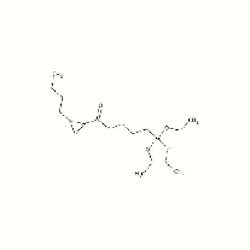 CCCCN1CC1C(=O)OCCC[Si](OCC)(OCC)OCC